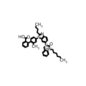 CCCCCCNC(=O)N(Cc1ccccc1)c1ccc2nc(CCCC)n(-c3ccc(-c4ccccc4C(=O)O)c(C)c3)c2c1